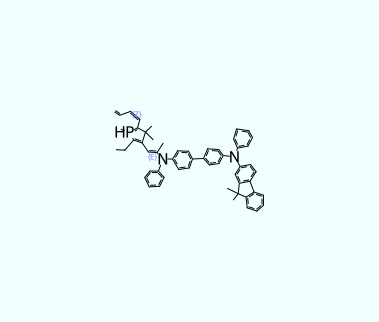 C=C/C=C\C1=[PH](C)C(CC)=C(/C=C(\C)N(c2ccccc2)c2ccc(-c3ccc(N(c4ccccc4)c4ccc5c(c4)C(C)(C)c4ccccc4-5)cc3)cc2)C1(C)C